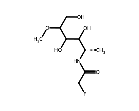 COC(CO)C(O)C(O)[C@H](C)NC(=O)CF